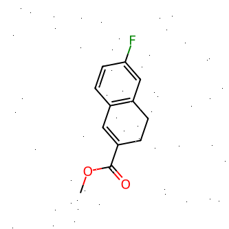 COC(=O)C1=Cc2ccc(F)cc2CC1